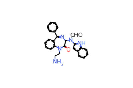 NCCN1C(=O)C(N(C=O)c2cc3ccccc3[nH]2)N=C(c2ccccc2)c2ccccc21